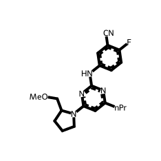 CCCc1cc(N2CCCC2COC)nc(Nc2ccc(F)c(C#N)c2)n1